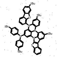 CC(C)(C)c1ccc(N(c2ccc(C(C)(C)C)cc2)c2cc3c4c(c2)-n2c5sc6ccccc6c5c5cc(C(C)(C)C)cc(c52)B4c2ccc(C(C)(C)C)cc2N3c2cccc3c2oc2cc(C(C)(C)C)ccc23)cc1